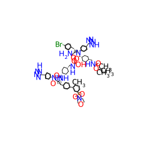 CC(C)(C)OC(=O)NC[C@H]1CC[C@H](C(=O)N(c2ccc(-c3nnn[nH]3)cc2)[C@@H](Cc2ccc(Br)cc2)C(N)=O)CC1.Cc1ccc(S(=O)(=O)N2CCOCC2)cc1-c1ccc(C[C@H](NC(=O)[C@H]2CC[C@H](CNC(=O)O)CC2)C(=O)Nc2ccc(-c3nnn[nH]3)cc2)cc1